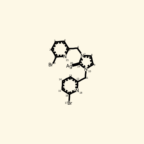 Brc1cccc(Cn2ccn(Cc3cccc(Br)n3)[c]2=[Ag])n1